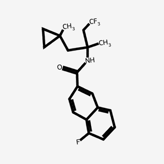 CC1(CC(C)(CC(F)(F)F)NC(=O)c2ccc3c(F)cccc3c2)CC1